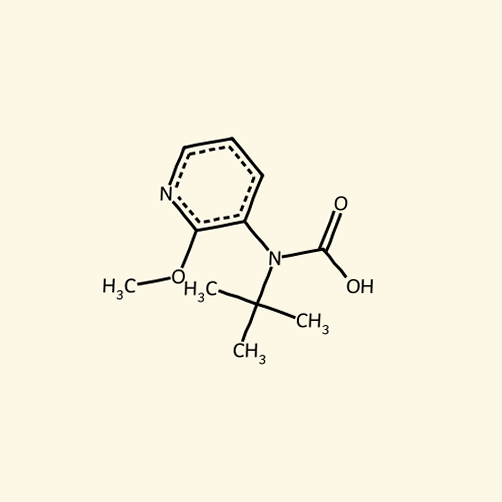 COc1ncccc1N(C(=O)O)C(C)(C)C